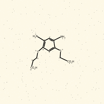 Nc1cc(N)c(SCC(=O)O)cc1SCCC(=O)O